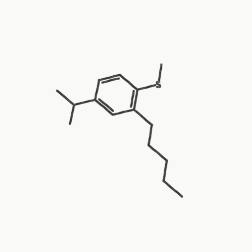 CCCCCc1cc(C(C)C)ccc1SC